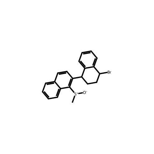 C[S+]([O-])c1c(C2CCC(Br)c3ccccc32)ccc2ccccc12